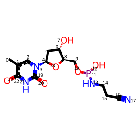 Cc1cn([C@H]2C[C@H](O)[C@@H](COP(O)NCCC#N)O2)c(=O)[nH]c1=O